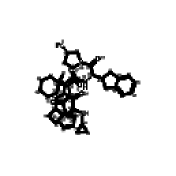 CC(C)[C@@H]1C[C@@H](C(=O)NC(CC2CCC2)C(=O)C(=O)NC2CC2)N(C(=O)[C@@H](NC(=O)[C@@H](NC(=O)c2cccs2)C2(C)CCCCC2)C2Cc3ccccc3C2)C1